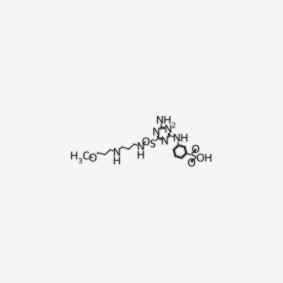 COCCCNCCCNOSc1nc(N)nc(Nc2cccc(S(=O)(=O)O)c2)n1